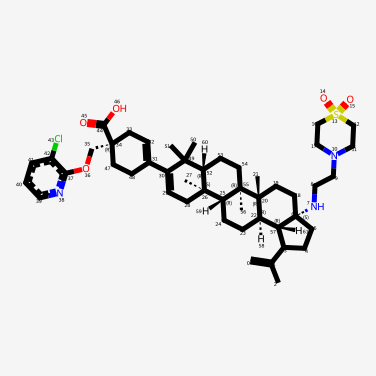 C=C(C)C1CC[C@]2(NCCN3CCS(=O)(=O)CC3)CC[C@]3(C)[C@H](CC[C@@H]4[C@@]5(C)CC=C(C6=CC[C@](COc7ncccc7Cl)(C(=O)O)CC6)C(C)(C)[C@@H]5CC[C@]43C)[C@@H]12